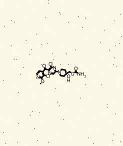 COc1nccc(C(=O)c2ncc(N3CCC(O)(COC(N)=O)CC3)nc2Cl)c1Cl